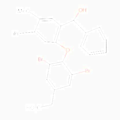 COc1cc(C(O)c2ccccc2)c(Oc2c(Br)cc(CC(=O)O)cc2Br)cc1C(C)C